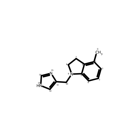 Cc1cccc2c1CCN2Cc1c[nH]cn1